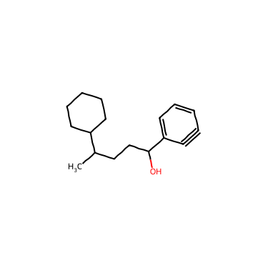 CC(CCC(O)c1c#cccc1)C1CCCCC1